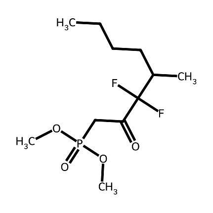 CCCCC(C)C(F)(F)C(=O)CP(=O)(OC)OC